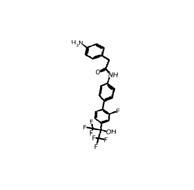 Nc1ccc(CC(=O)Nc2ccc(-c3ccc(C(O)(C(F)(F)F)C(F)(F)F)cc3F)cc2)cc1